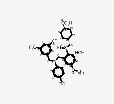 CCc1ccc(N(Cc2cc(C(F)(F)F)cc(C(F)(F)F)c2)Cc2cc(OC(F)(F)F)ccc2N(CC)C[C@H]2CC[C@H](C(=O)O)CC2)cc1.Cl